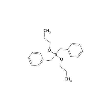 CCC[O][Ti]([CH2]c1ccccc1)([CH2]c1ccccc1)[O]CCC